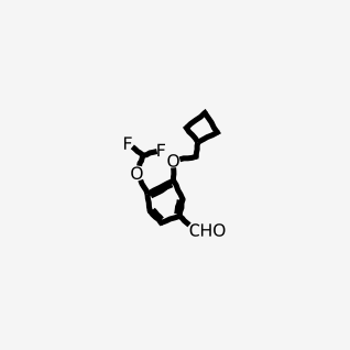 O=Cc1ccc(OC(F)F)c(OCC2CCC2)c1